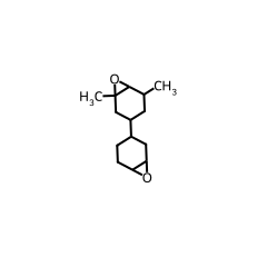 CC1CC(C2CCC3OC3C2)CC2(C)OC12